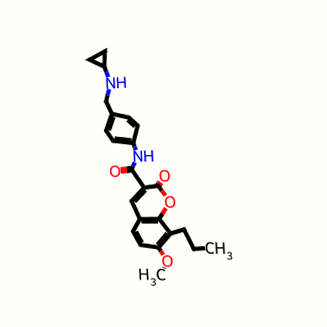 CCCc1c(OC)ccc2cc(C(=O)Nc3ccc(CNC4CC4)cc3)c(=O)oc12